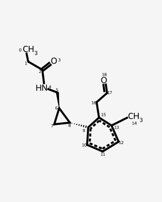 CCC(=O)NC[C@@H]1C[C@H]1c1cccc(C)c1CC=O